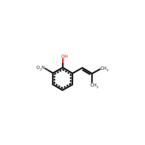 CC(C)=Cc1cccc([N+](=O)[O-])c1O